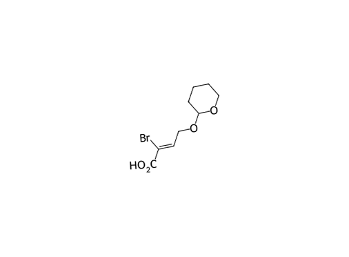 O=C(O)C(Br)=CCOC1CCCCO1